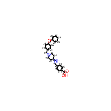 O=C(O)c1ccc(CNC2CCN(Cc3ccc(Oc4ccccc4)cc3)CC2)cc1